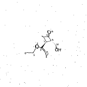 CCOC(=O)[C@H]1CC(=O)[C@@H]1CO